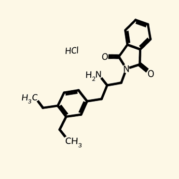 CCc1ccc(CC(N)CN2C(=O)c3ccccc3C2=O)cc1CC.Cl